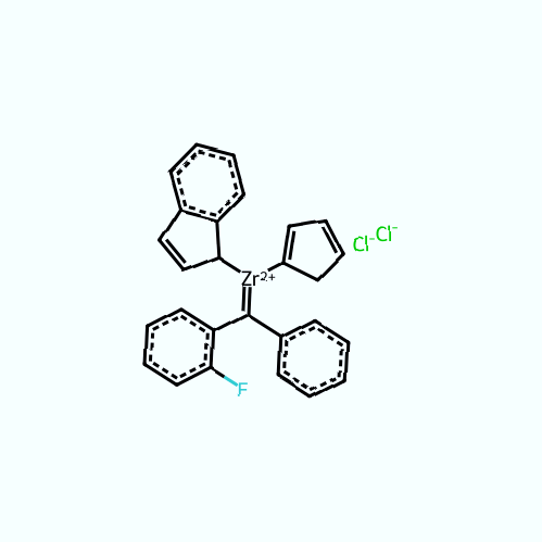 Fc1ccccc1[C](c1ccccc1)=[Zr+2]([C]1=CC=CC1)[CH]1C=Cc2ccccc21.[Cl-].[Cl-]